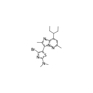 CCC(CC)c1cc(C)nn2c(-c3sc(N(C)C)nc3Br)c(C)nc12